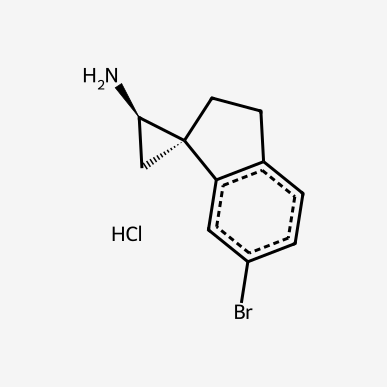 Cl.N[C@@H]1C[C@@]12CCc1ccc(Br)cc12